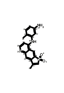 CC1=CS(=O)(=O)c2cc3c(Nc4cc(N)ccc4C)ccnc3cc21